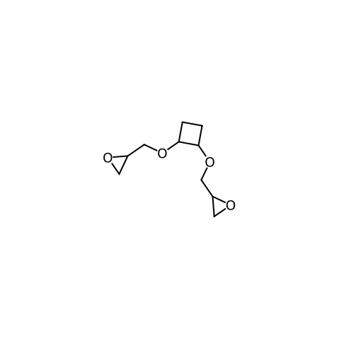 C1OC1COC1CCC1OCC1CO1